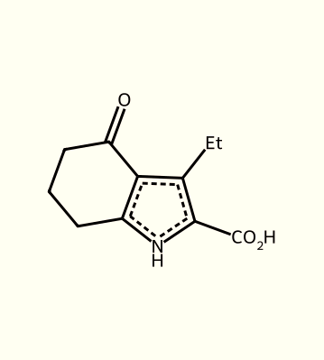 CCc1c(C(=O)O)[nH]c2c1C(=O)CCC2